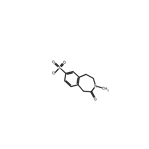 CN1CCc2cc(S(=O)(=O)Cl)ccc2CC1=O